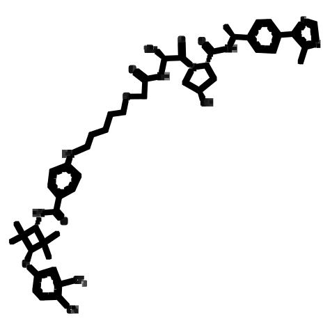 Cc1ncsc1-c1ccc([C@H](C)NC(=O)[C@@H]2C[C@@H](O)CN2C(=O)[C@@H](NC(=O)COCCCCCNc2ccc(C(=O)N[C@H]3C(C)(C)[C@H](Oc4ccc(C#N)c(C(F)(F)F)c4)C3(C)C)cc2)C(C)(C)C)cc1